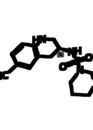 N#Cc1ccc2c(c1)C[C@H](NS(=O)(=O)N1CCCCC1)CN2